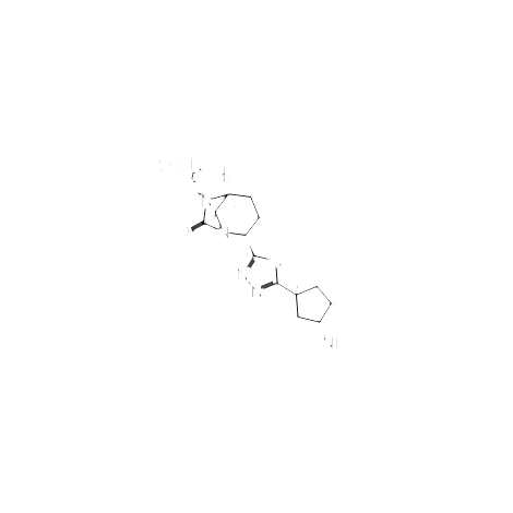 N[C@H]1CCC(c2nnc([C@@H]3CC[C@H]4CN3C(=O)N4OS(=O)(=O)O)o2)C1